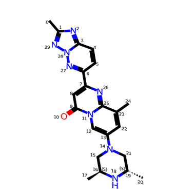 Cc1nc2ccc(-c3cc(=O)n4cc(N5C[C@H](C)N[C@@H](C)C5)cc(C)c4n3)nn2n1